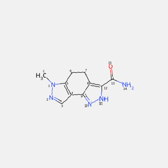 Cn1ncc2c1CCc1c-2n[nH]c1C(N)=O